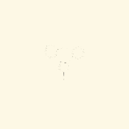 OCc1nc2c(s1)-c1ccccc1Oc1ccccc1-2